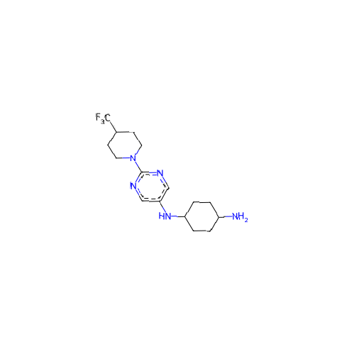 NC1CCC(Nc2cnc(N3CCC(C(F)(F)F)CC3)nc2)CC1